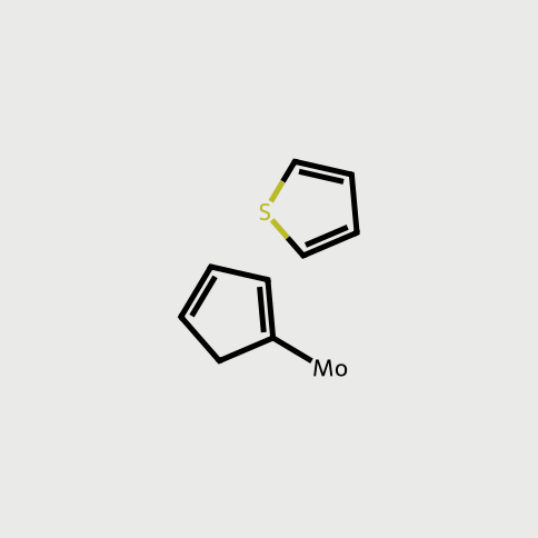 [Mo][C]1=CC=CC1.c1ccsc1